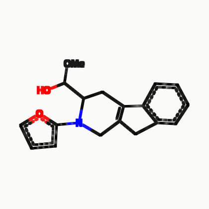 COC(O)C1CC2=C(Cc3ccccc32)CN1c1ccco1